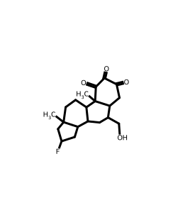 CC12CCC3C(CC(CO)C4CC(=O)C(=O)C(=O)C43C)C1CC(F)C2